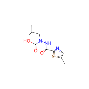 Cc1cnc(C(=O)NN(CC(C)C)C(=O)O)s1